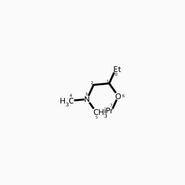 CCC(CN(C)C)OC(C)C